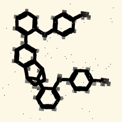 Nc1ccc(Oc2ccccc2-c2ccc3c(c2)C2CCC3C2c2ccccc2Oc2ccc(N)cc2)cc1